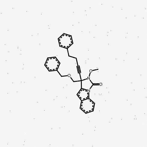 CON1C(=O)n2c(cc3ccccc32)C1(C#CCCc1ccccc1)COCc1ccccc1